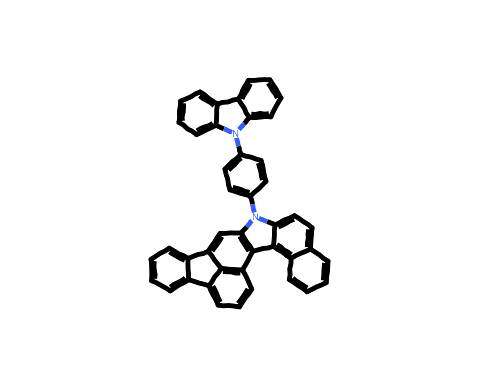 c1ccc2c(c1)-c1cccc3c1c-2cc1c3c2c3ccccc3ccc2n1-c1ccc(-n2c3ccccc3c3ccccc32)cc1